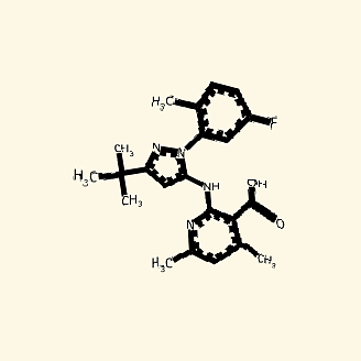 Cc1cc(C)c(C(=O)O)c(Nc2cc(C(C)(C)C)nn2-c2cc(F)ccc2C)n1